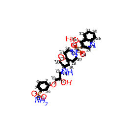 NS(=O)(=O)c1cccc(OCC(O)CNC2COC3(CCN(S(=O)(=O)c4cnc5ccccc5c4O)CC3)C2)c1